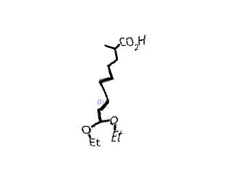 CCOC(/C=C/CCCCC(C)C(=O)O)OCC